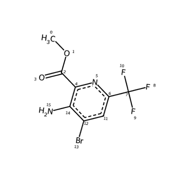 COC(=O)c1nc(C(F)(F)F)cc(Br)c1N